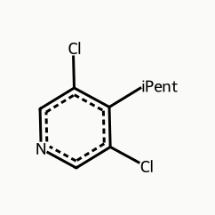 CCCC(C)c1c(Cl)cncc1Cl